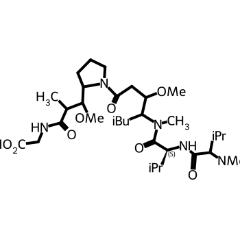 CCC(C)C(C(CC(=O)N1CCCC1C(OC)C(C)C(=O)NCC(=O)O)OC)N(C)C(=O)[C@@H](NC(=O)C(NC)C(C)C)C(C)C